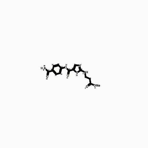 COC(=O)CCNc1ncc(C(=O)Oc2ccc(C(N)=O)cc2)s1